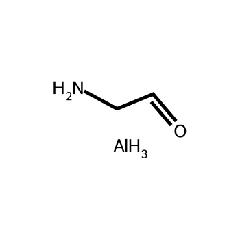 NCC=O.[AlH3]